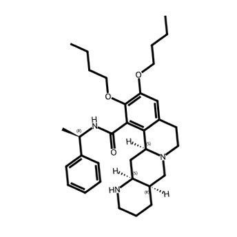 CCCCOc1cc2c(c(C(=O)N[C@H](C)c3ccccc3)c1OCCCC)[C@@H]1C[C@@H]3NCCC[C@@H]3CN1CC2